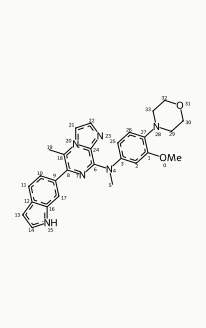 COc1cc(N(C)c2nc(-c3ccc4cc[nH]c4c3)c(C)n3ccnc23)ccc1N1CCOCC1